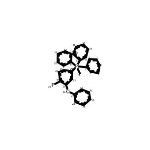 CP(c1ccccc1)(c1ccccc1)(c1ccccc1)c1ccc(F)c(Oc2ccccc2)c1